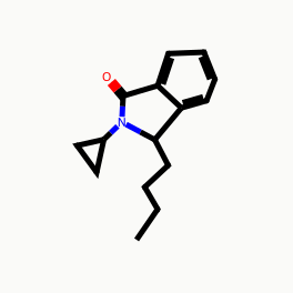 CCCCC1c2ccccc2C(=O)N1C1CC1